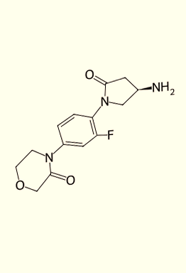 N[C@@H]1CC(=O)N(c2ccc(N3CCOCC3=O)cc2F)C1